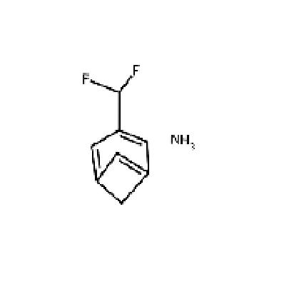 FC(F)c1cc2cc(c1)C2.N